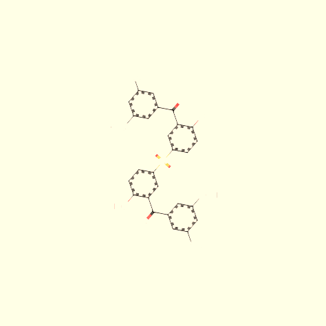 O=C(c1cc(S(=O)(=O)O)cc(S(=O)(=O)O)c1)c1cc(S(=O)(=O)c2ccc(O)c(C(=O)c3cc(S(=O)(=O)O)cc(S(=O)(=O)O)c3)c2)ccc1O